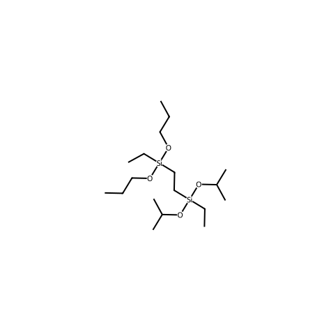 CCCO[Si](CC)(CC[Si](CC)(OC(C)C)OC(C)C)OCCC